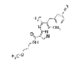 COCCCNC(=O)c1cnn2c(C)c(Cc3cccc(C#N)c3)c(C)nc12